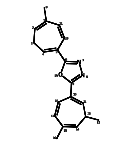 CC1=CCC=C(c2nnc(C3=CC(C)C=C(C)C=C3)o2)C=C1